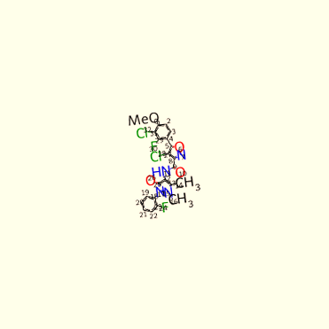 COc1ccc(-c2onc(C(=O)Nc3c(C)n(C)n(-c4ccccc4F)c3=O)c2Cl)c(F)c1Cl